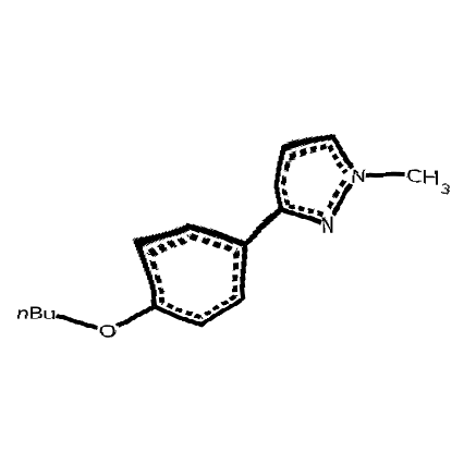 CCCCOc1ccc(-c2ccn(C)n2)cc1